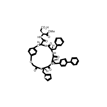 COC(=O)[C@H](CC(=O)O)NC(=O)[C@@H]1Cc2ccc(cc2)OCC(=O)N[C@@H](Cc2cccs2)C(=O)N[C@@H](Cc2ccc(-c3ccccc3)cc2)C(=O)N[C@@H](Cc2ccccc2)C(=O)N1